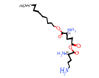 CCCCCCCCCCCCCCCCCCOC(=O)[C@@H](N)CCC(=O)OC(=O)[C@H](N)CCCN